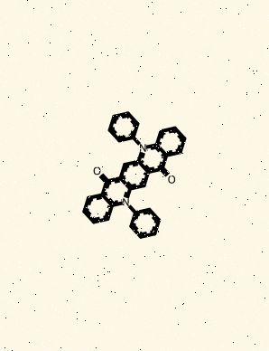 O=c1c2ccccc2n(-c2ccccc2)c2cc3c(=O)c4ccccc4n(-c4ccccc4)c3cc12